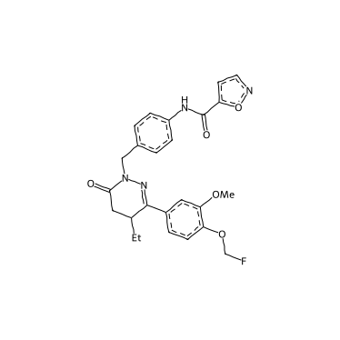 CCC1CC(=O)N(Cc2ccc(NC(=O)c3ccno3)cc2)N=C1c1ccc(OCF)c(OC)c1